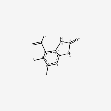 C=C(C)c1c(C)c(C)cc2c1NC(=O)[N]2